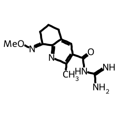 CO/N=C1\CCCc2cc(C(=O)NC(=N)N)c(C)nc21